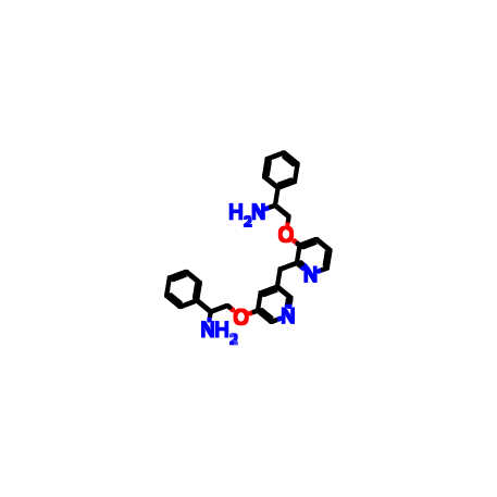 NC(COc1cncc(Cc2ncccc2OCC(N)c2ccccc2)c1)c1ccccc1